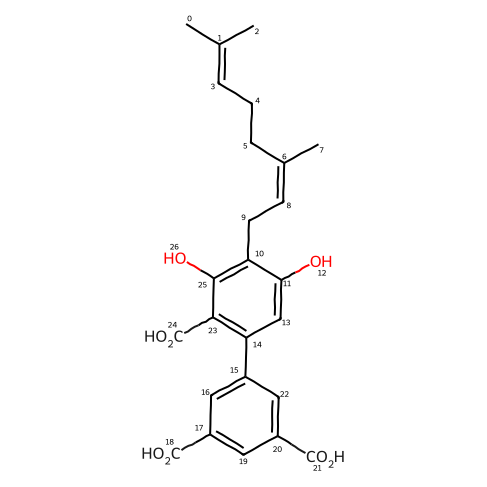 CC(C)=CCCC(C)=CCc1c(O)cc(-c2cc(C(=O)O)cc(C(=O)O)c2)c(C(=O)O)c1O